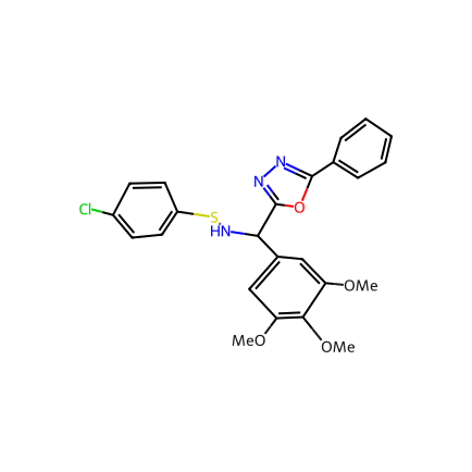 COc1cc(C(NSc2ccc(Cl)cc2)c2nnc(-c3ccccc3)o2)cc(OC)c1OC